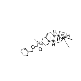 C[C@H]1[C@H]2CC[C@H]3[C@@H]4CC=C5C[C@@H](N(C)C(=O)OCc6ccccc6)CC[C@]5(C)[C@H]4CCC23CN1C